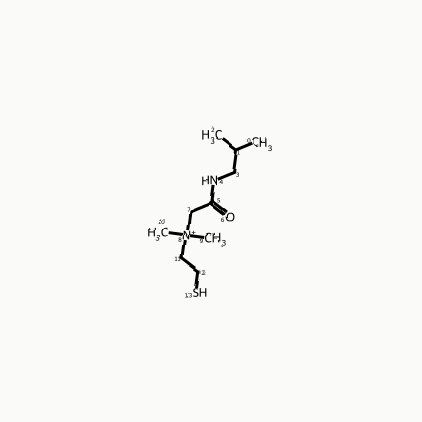 CC(C)CNC(=O)C[N+](C)(C)CCS